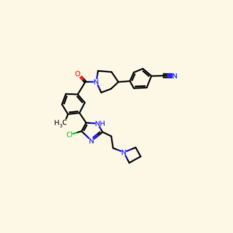 Cc1ccc(C(=O)N2CCC(c3ccc(C#N)cc3)CC2)cc1-c1[nH]c(CCN2CCC2)nc1Cl